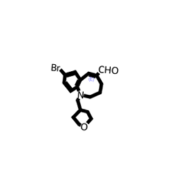 O=C/C1=C/c2cc(Br)ccc2N(CC2CCOCC2)CCC1